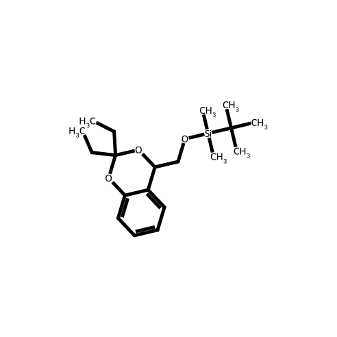 CCC1(CC)Oc2ccccc2C(CO[Si](C)(C)C(C)(C)C)O1